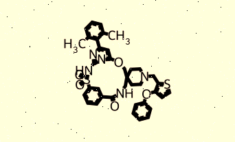 Cc1cccc(C)c1-c1cc2nc(n1)NS(=O)(=O)c1cccc(c1)C(=O)NCC1(CCN(Cc3sccc3Oc3ccccc3)CC1)CO2